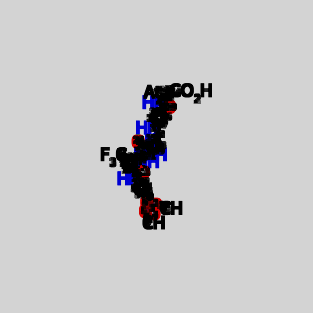 C#COP(=O)(OC#C)OCc1ccc(NC(=O)c2ccc(C(F)(F)F)cc2Nc2nc(=O)c3nc(CNc4ccc(C(=O)N[C@@H](CCC(=O)O)C(C)=O)cc4)cnc3[nH]2)cc1